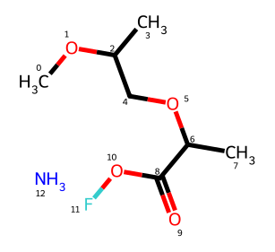 COC(C)COC(C)C(=O)OF.N